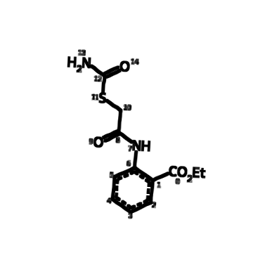 CCOC(=O)c1ccccc1NC(=O)CSC(N)=O